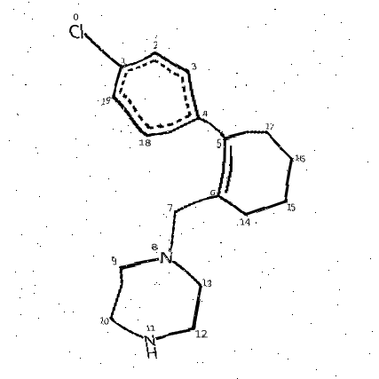 Clc1ccc(C2=C(CN3CCNCC3)CCCC2)cc1